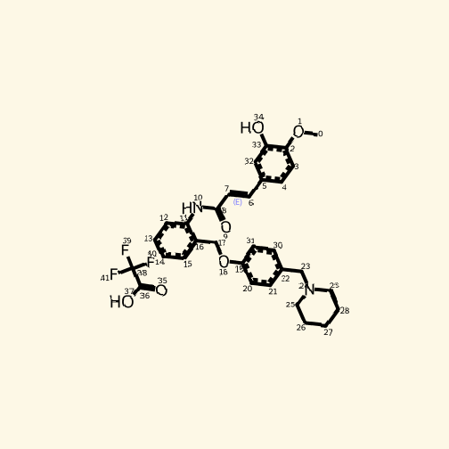 COc1ccc(/C=C/C(=O)Nc2ccccc2COc2ccc(CN3CCCCC3)cc2)cc1O.O=C(O)C(F)(F)F